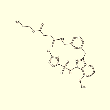 CCCOC(=O)CCC(=O)NCc1cccc(Cn2nc(NS(=O)(=O)c3ccc(Cl)s3)c3c(OC)cccc32)c1